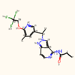 CCC(=O)Nc1nccc2nn(C(C)c3cnc(OCC(F)(F)F)c(C)c3)cc12